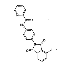 O=C(Nc1ccc(N2C(=O)c3cccc(F)c3C2=O)cc1)c1ccccn1